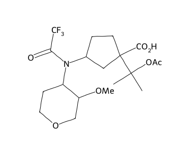 COC1COCCC1N(C(=O)C(F)(F)F)C1CCC(C(=O)O)(C(C)(C)OC(C)=O)C1